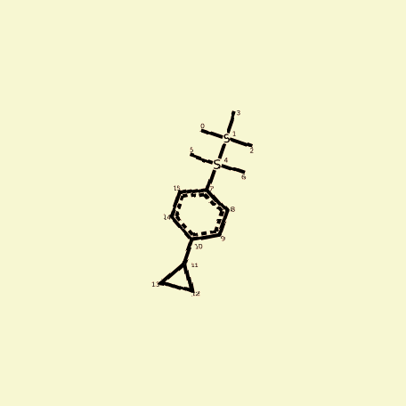 CS(C)(C)S(C)(C)c1ccc(C2CC2)cc1